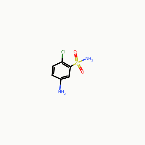 Nc1ccc(Cl)c(S(N)(=O)=O)c1